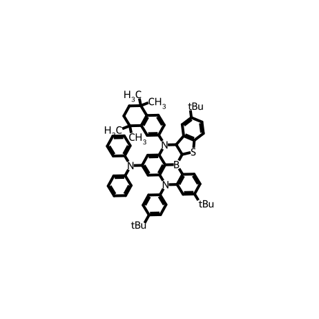 CC(C)(C)c1ccc(N2c3cc(C(C)(C)C)ccc3B3c4c2cc(N(c2ccccc2)c2ccccc2)cc4N(c2ccc4c(c2)C(C)(C)CCC4(C)C)C2c4cc(C(C)(C)C)ccc4SC32)cc1